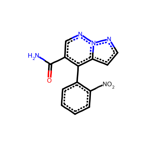 NC(=O)c1cnn2nccc2c1-c1ccccc1[N+](=O)[O-]